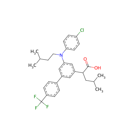 CC(C)CCN(c1ccc(Cl)cc1)c1cc(-c2ccc(C(F)(F)F)cc2)cc(C(CC(C)C)C(=O)O)c1